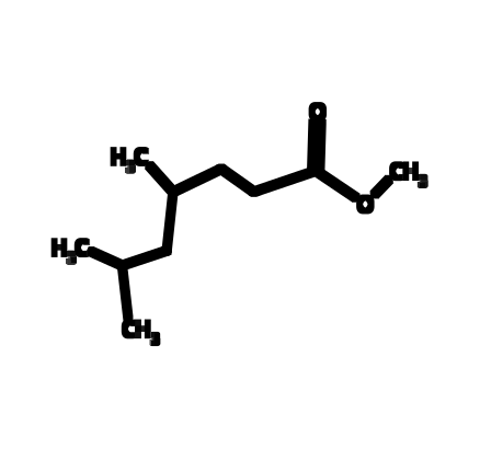 COC(=O)CCC(C)CC(C)C